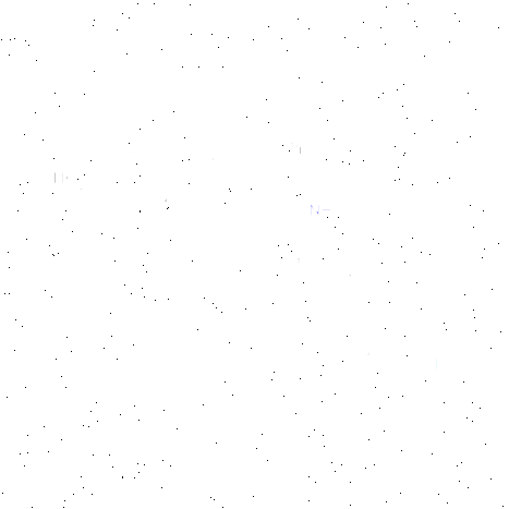 CC(C)C(CCCCC(=O)O)NCc1ccc(F)cc1